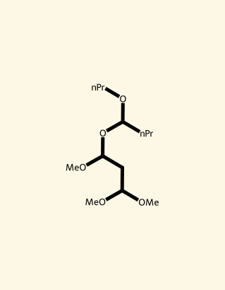 CCCOC(CCC)OC(CC(OC)OC)OC